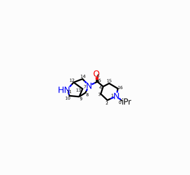 CC(C)N1CCC(C(=O)N2CC3CNC(C3)C2)CC1